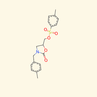 Cc1ccc(CN2CC(COS(=O)(=O)c3ccc(C)cc3)OC2=O)cc1